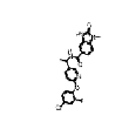 CC(NC(=O)c1ccc2c(c1)[nH]c(=O)n2C)c1ccc(Oc2ccc(Cl)cc2F)nc1